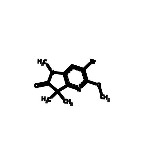 COc1nc2c(cc1Br)N(C)C(=O)C2(C)C